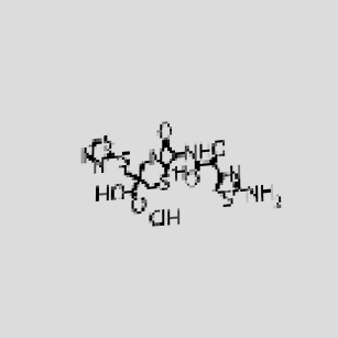 Cl.Nc1nc(C(=O)C(=O)NC2C(=O)N3CC(CSc4nncs4)(C(=O)O)CS[C@H]23)cs1